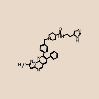 Cc1cc2ncc3cc(-c4ccccc4)c(-c4ccc(CN5CCC(C(=O)NCCc6cnc[nH]6)CC5)cc4)nc3n2n1